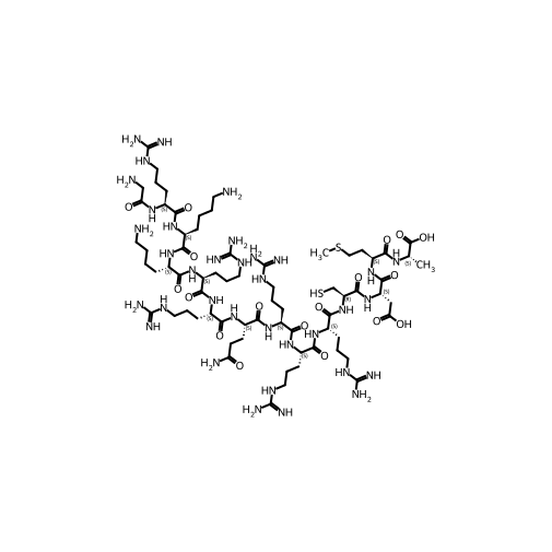 CSCC[C@H](NC(=O)[C@H](CC(=O)O)NC(=O)[C@H](CS)NC(=O)[C@H](CCCNC(=N)N)NC(=O)[C@H](CCCNC(=N)N)NC(=O)[C@H](CCCNC(=N)N)NC(=O)[C@H](CCC(N)=O)NC(=O)[C@H](CCCNC(=N)N)NC(=O)[C@H](CCCNC(=N)N)NC(=O)[C@H](CCCCN)NC(=O)[C@H](CCCCN)NC(=O)[C@H](CCCNC(=N)N)NC(=O)CN)C(=O)N[C@@H](C)C(=O)O